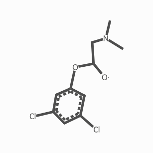 CN(C)CC([O])Oc1cc(Cl)cc(Cl)c1